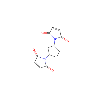 O=C1C=CC(=O)N1C1CCC(N2C(=O)C=CC2=O)C1